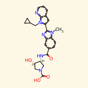 Cn1c(-c2cc3cccnc3n2CC2CC2)nc2cc(C(=O)N[C@@H]3CN(C(=O)O)C[C@@H]3O)ccc21